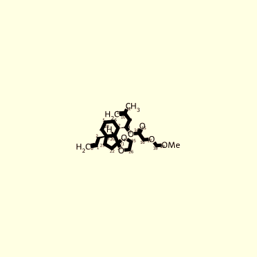 C=CC[C@@]12CCC[C@H](C(CC(=C)C)OC(=O)COCOC)[C@@H]1C1(CC2)OCCO1